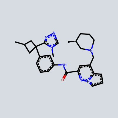 CC1CC(c2cccc(NC(=O)c3cc(CN4CCC[C@H](C)C4)c4cccn4n3)c2)(c2nncn2C)C1